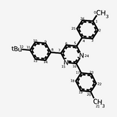 Cc1ccc(-c2cc(-c3ccc(C(C)(C)C)cc3)nc(-c3ccc(C)cc3)n2)cc1